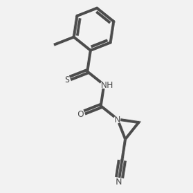 Cc1ccccc1C(=S)NC(=O)N1CC1C#N